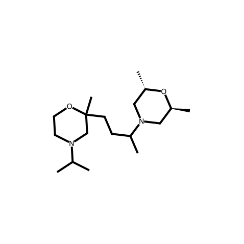 CC(C)N1CCOC(C)(CCC(C)N2C[C@H](C)O[C@@H](C)C2)C1